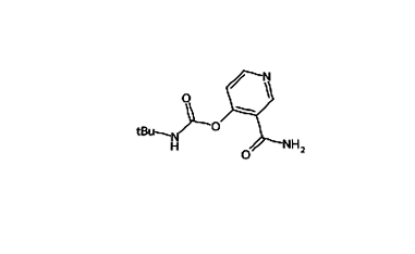 CC(C)(C)NC(=O)Oc1ccncc1C(N)=O